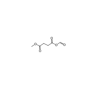 COC(=O)CCC(=O)OC=O